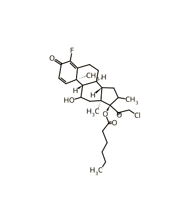 CCCCCC(=O)O[C@]1(C(=O)CCl)C(C)C[C@H]2[C@@H]3CCC4=C(F)C(=O)C=C[C@]4(C)[C@H]3C(O)C[C@@]21C